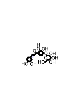 O=C(/C=C/c1ccc(O)c(O)c1)c1ccc(OC2OC(CO)C(O)C(O)C2O)c(O)c1O